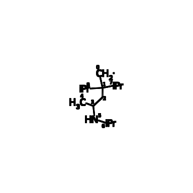 [CH2]C(CC(C)NC(C)C)(C(C)C)C(C)C